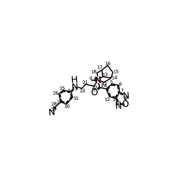 CN(C(=O)c1ccc2nonc2c1)C1C2CCC1CN(CCCNc1ccc(C#N)cc1)C2